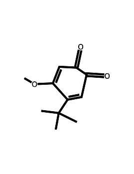 COC1=CC(=O)C(=O)C=C1C(C)(C)C